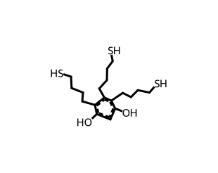 Oc1cc(O)c(CCCCS)c(CCCCS)c1CCCCS